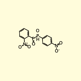 O=[N+]([O-])c1ccc([PH](=O)[P](=O)c2ccccc2[N+](=O)[O-])cc1